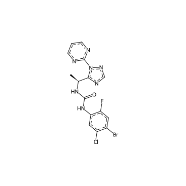 C[C@H](NC(=O)Nc1cc(Cl)c(Br)cc1F)c1ncnn1-c1ncccn1